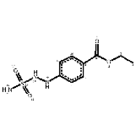 CCOC(=O)c1ccc(NNS(N)(=O)=O)cc1